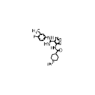 Cc1cc(NC(=N)c2nonc2NC(=O)C2CCN(C(C)C)CC2)ccc1F